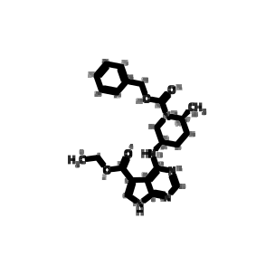 CCOC(=O)c1c[nH]c2ncnc(N[C@@H]3CC[C@H](C)N(C(=O)OCc4ccccc4)C3)c12